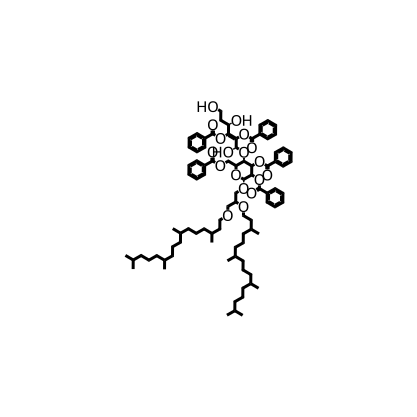 CC(C)CCCC(C)CCCC(C)CCCC(C)CCOCC(CO[C@@H]1OC(COC(=O)c2ccccc2)[C@@H](O[C@H](O)/C(OC(=O)c2ccccc2)=C(\OC(=O)c2ccccc2)[C@@H](O)CCO)C(OC(=O)c2ccccc2)C1OC(=O)c1ccccc1)OCCC(C)CCCC(C)CCCC(C)CCCC(C)C